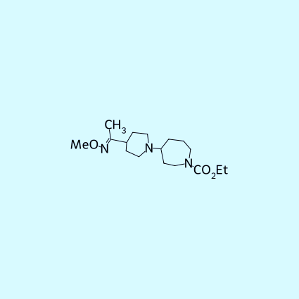 CCOC(=O)N1CCCC(N2CCC(C(C)=NOC)CC2)CC1